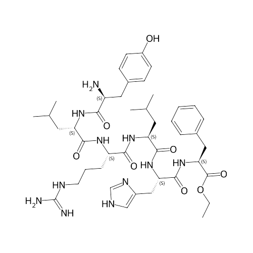 CCOC(=O)[C@H](Cc1ccccc1)NC(=O)[C@H](Cc1c[nH]cn1)NC(=O)[C@H](CC(C)C)NC(=O)[C@H](CCCNC(=N)N)NC(=O)[C@H](CC(C)C)NC(=O)[C@@H](N)Cc1ccc(O)cc1